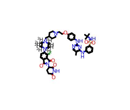 [2H]C1([2H])N(CC2CCN(CCOc3ccc(Nc4ncc(C)c(Nc5cccc(S(=O)(=O)NC(C)(C)C)c5)n4)cc3)CC2)C([2H])([2H])C([2H])([2H])N(c2ccc3c(c2F)C(=O)N(C2CCC(=O)NC2=O)C3=O)C1([2H])[2H]